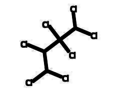 Cl[C](Cl)C(Cl)C(Cl)(Cl)C(Cl)Cl